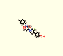 Cc1ccc(CN2OCCC(N3CCC(c4ccc(O)cc4)[C@H](F)C3)C2=O)cc1